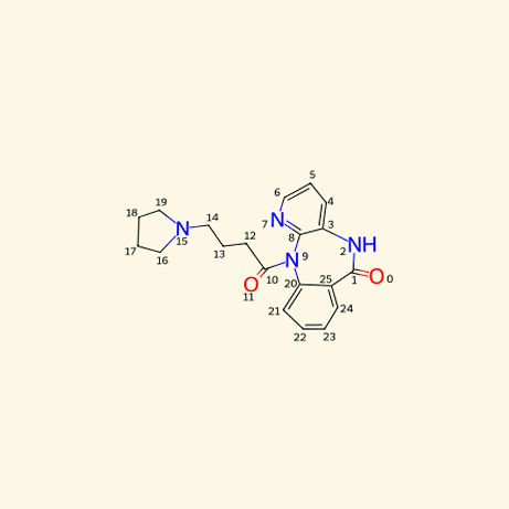 O=C1Nc2cccnc2N(C(=O)CCCN2CCCC2)c2ccccc21